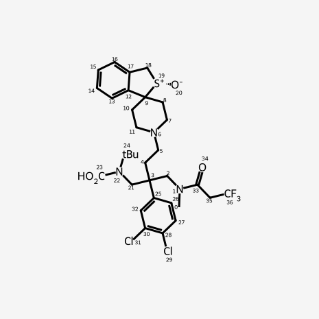 CN(CC(CCN1CCC2(CC1)c1ccccc1C[S@+]2[O-])(CN(C(=O)O)C(C)(C)C)c1ccc(Cl)c(Cl)c1)C(=O)CC(F)(F)F